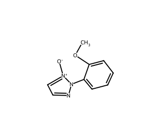 COc1ccccc1-n1ncc[n+]1[O-]